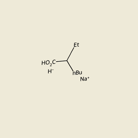 CCCCC(CC)C(=O)O.[H-].[Na+]